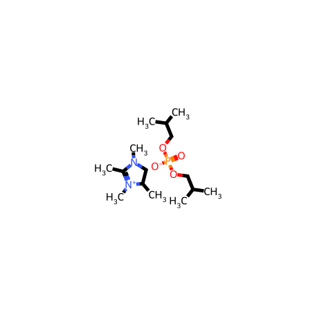 CC(C)COP(=O)([O-])OCC(C)C.CC1=[N+](C)C(C)CN1C